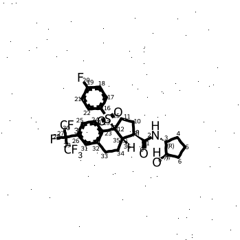 O=C(N[C@@H]1CCC[C@H]1O)[C@@H]1CC[C@@]2(S(=O)(=O)c3ccc(F)cc3)c3ccc(C(F)(C(F)(F)F)C(F)(F)F)cc3CC[C@@H]12